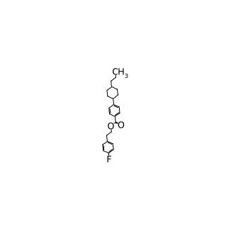 CCCC1CCC(c2ccc(C(=O)OCCc3ccc(F)cc3)cc2)CC1